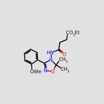 CCOC(=O)CCC(=O)NN1C(c2ccccc2OC)=NOC1(C)C